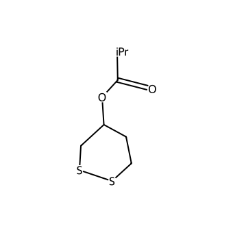 CC(C)C(=O)OC1CCSSC1